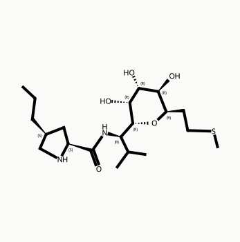 CCC[C@@H]1CN[C@H](C(=O)N[C@H](C(C)C)[C@H]2O[C@H](CCSC)[C@H](O)[C@@H](O)[C@H]2O)C1